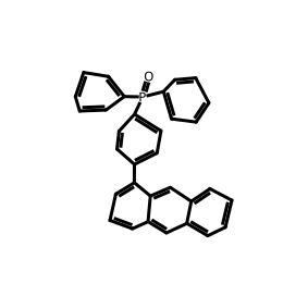 O=P(c1ccccc1)(c1ccccc1)c1ccc(-c2cccc3cc4ccccc4cc23)cc1